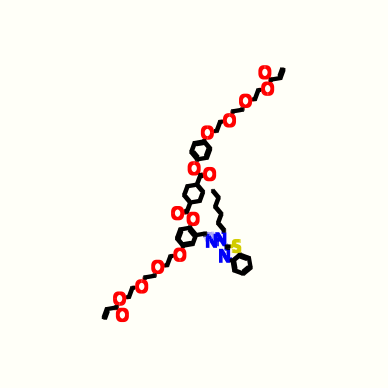 C=CC(=O)OCCOCCOCCOc1ccc(OC(=O)C2CCC(C(=O)Oc3ccc(OCCOCCOCCOC(=O)C=C)cc3/C=N/N(CCCCCC)c3nc4ccccc4s3)CC2)cc1